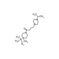 CC(C)N1CCN(CCCC(=O)N2CCC(C)(C(C)(C)C)CC2)CC1